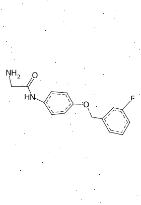 NCC(=O)Nc1ccc(OCc2cccc(F)c2)cc1